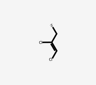 [S]C/C(Cl)=C/Cl